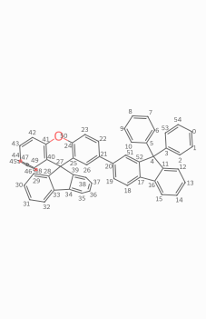 c1ccc(C2(c3ccccc3)c3ccccc3-c3ccc(-c4ccc5c(c4)C4(c6ccccc6-c6ccccc64)c4c(ccc6ccccc46)O5)cc32)cc1